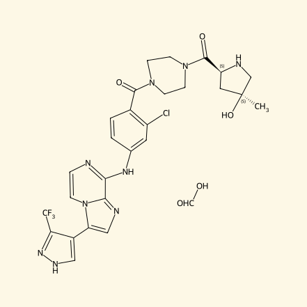 C[C@@]1(O)CN[C@H](C(=O)N2CCN(C(=O)c3ccc(Nc4nccn5c(-c6c[nH]nc6C(F)(F)F)cnc45)cc3Cl)CC2)C1.O=CO